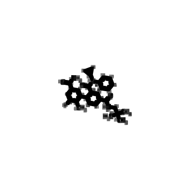 Cc1c(F)cc(C(N)=O)cc1-c1ccc(C(=O)NCC(C)(C)C)cc1C(=O)N(c1ccccc1)C1CC1